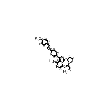 C=CC(=O)N1CCC[C@H]1c1nc(-c2ccc(OCc3ccc(C(F)(F)F)cc3)nc2)c2c(N)nccn12